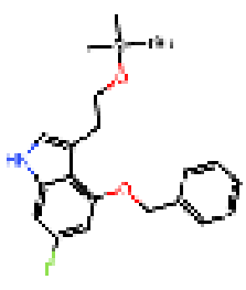 CC(C)(C)[Si](C)(C)OCCc1c[nH]c2cc(F)cc(OCc3ccccc3)c12